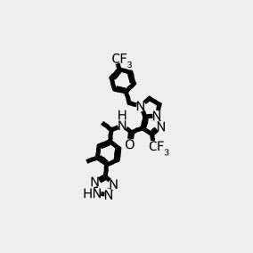 Cc1cc(C(C)NC(=O)c2c(C(F)(F)F)nn3c2N(Cc2ccc(C(F)(F)F)cc2)CC3)ccc1-c1nn[nH]n1